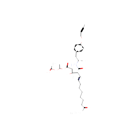 CC#CCOc1ccc(C[C@H](NC(=O)[C@@H](/C=C/CCCCCCC(=O)CCCCCCC)[C@@](O)(CC(=O)OC(C)OC(=O)C(C)C)C(=O)O)C(=O)O)cc1